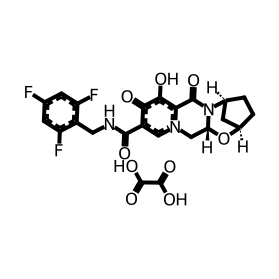 O=C(NCc1c(F)cc(F)cc1F)c1cn2c(c(O)c1=O)C(=O)N1[C@H]3CC[C@H](C3)O[C@@H]1C2.O=C(O)C(=O)O